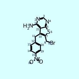 Nc1ncnc2sc(CBr)c(Cc3ccc([N+](=O)[O-])cc3)c12